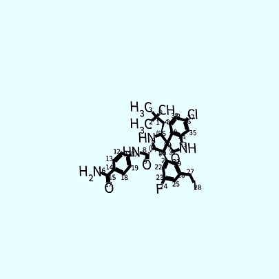 CC(C)(C)C[C@@H]1N[C@@H](C(=O)Nc2ccc(C(N)=O)cc2)[C@H](c2cc(F)cc(CI)c2)[C@]12C(=O)Nc1cc(Cl)ccc12